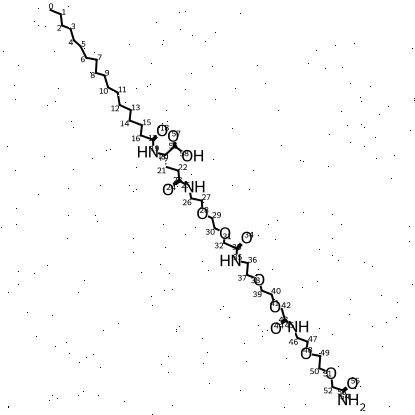 CCCCCCCCCCCCCCCCCC(=O)N[C@@H](CCC(=O)NCCOCCOCC(=O)NCCOCCOCC(=O)NCCOCCOCC(N)=O)C(=O)O